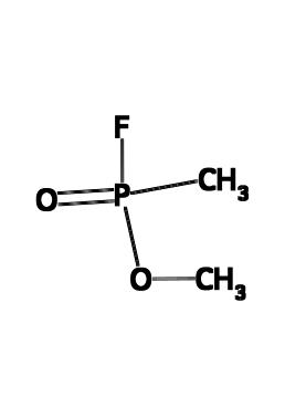 COP(C)(=O)F